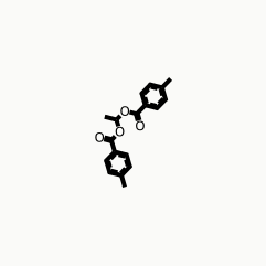 Cc1ccc(C(=O)OC(C)OC(=O)c2ccc(C)cc2)cc1